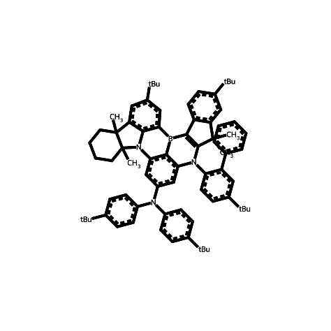 CC(C)(C)c1ccc(N(c2ccc(C(C)(C)C)cc2)c2cc3c4c(c2)N2c5c(cc(C(C)(C)C)cc5C5(C)CCCCC25C)B4C2=C(N3c3ccc(C(C)(C)C)cc3-c3ccccc3)C(C)(C)c3cc(C(C)(C)C)ccc32)cc1